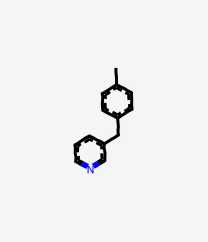 Cc1ccc(Cc2cccnc2)cc1